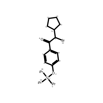 CC(C)[Si](Oc1ccc(C(=O)C(Br)C2CCCC2)cc1)(C(C)C)C(C)C